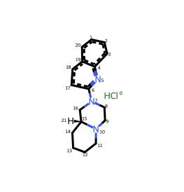 Cl.c1ccc2nc(N3CCN4CCCC[C@@H]4C3)ccc2c1